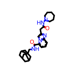 O=C(Cc1cn2c(C(=O)NCC34CC5CC(CC(C5)C3)C4)cccc2n1)NN1CCCCCC1